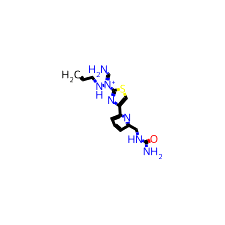 C=CCN[N+](=CN)c1nc(-c2cccc(CNC(N)=O)n2)cs1